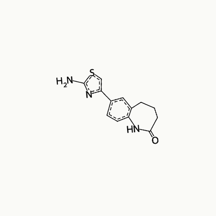 Nc1nc(-c2ccc3c(c2)CCCC(=O)N3)cs1